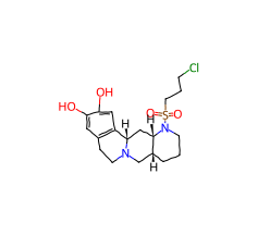 O=S(=O)(CCCCl)N1CCC[C@@H]2CN3CCc4cc(O)c(O)cc4[C@@H]3C[C@@H]21